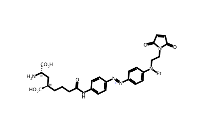 CCN(CCN1C(=O)C=CC1=O)c1ccc(/N=N/c2ccc(NC(=O)CCC[C@H](C[C@H](N)C(=O)O)C(=O)O)cc2)cc1